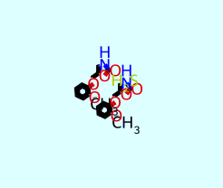 COc1ccccc1OCC1CNC(=O)O1.COc1ccccc1OCC1CNC(=O)O1.S